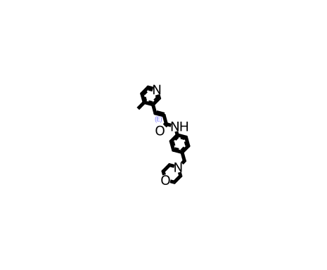 Cc1ccncc1/C=C/C(=O)Nc1ccc(CN2CCOCC2)cc1